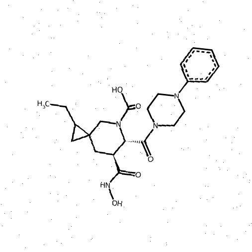 CCC1CC12C[C@H](C(=O)NO)[C@@H](C(=O)N1CCN(c3ccccc3)CC1)N(C(=O)O)C2